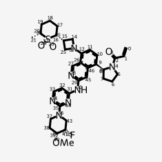 C=CC(=O)N1CCC[C@H]1c1ccc(N2CC([C@H]3CCC[C@@H](C)S3(=O)=O)C2)c2cnc(Nc3ccnc(N4CC[C@@H](OC)[C@@H](F)C4)n3)cc12